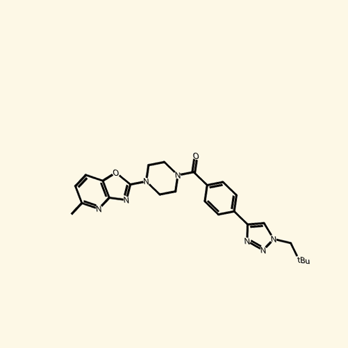 Cc1ccc2oc(N3CCN(C(=O)c4ccc(-c5cn(CC(C)(C)C)nn5)cc4)CC3)nc2n1